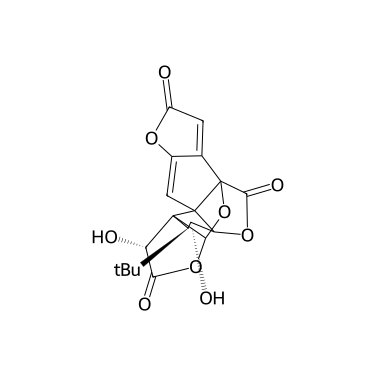 CC(C)(C)[C@@H]1[C@@H](O)C2OC(=O)C34OC5OC(=O)[C@H](O)C51C23C=C1OC(=O)C=C14